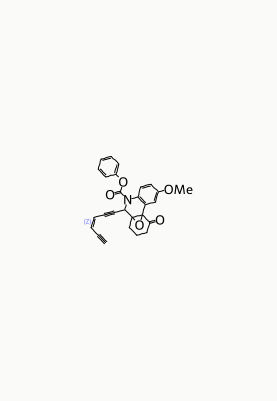 C#C/C=C\C#CC1N(C(=O)Oc2ccccc2)c2ccc(OC)cc2C23OC12CCCC3=O